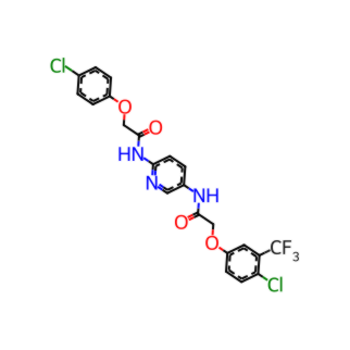 O=C(COc1ccc(Cl)c(C(F)(F)F)c1)Nc1ccc(NC(=O)COc2ccc(Cl)cc2)nc1